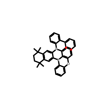 CC1(C)CCC(C)(C)c2cc3c(cc21)B1c2ccccc2Oc2cccc(c21)N3c1ccccc1-c1ccccc1